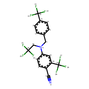 N#Cc1ccc(N(Cc2ccc(C(F)(F)F)cc2)CC(F)(F)F)cc1C(F)(F)F